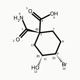 NC(=O)[C@@]1(C(=O)O)CC[C@H](Br)[C@H](O)C1